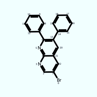 Brc1cnc2nc(-c3ccccc3)c(-c3ccccc3)cc2c1